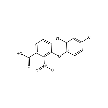 O=C(O)c1cccc(Oc2ccc(Cl)cc2Cl)c1[N+](=O)[O-]